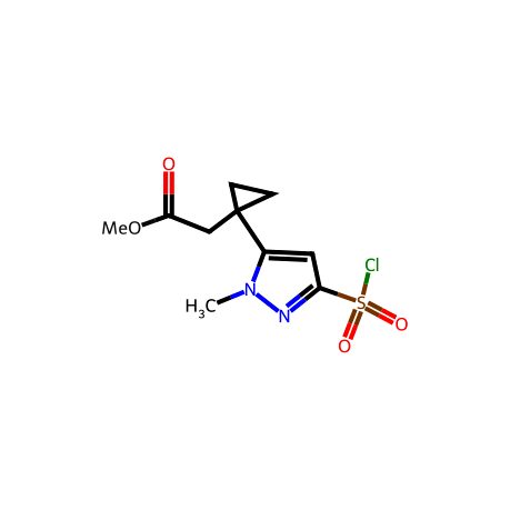 COC(=O)CC1(c2cc(S(=O)(=O)Cl)nn2C)CC1